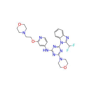 FC(F)c1nc2ccccc2n1-c1nc(Nc2ccnc(OCCN3CCOCC3)c2)nc(N2CCOCC2)n1